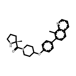 Cc1c(-c2ccc(OC3CCN(C(=O)[C@@]4(C)CCCN4)CC3)cc2)ccc2cccnc12